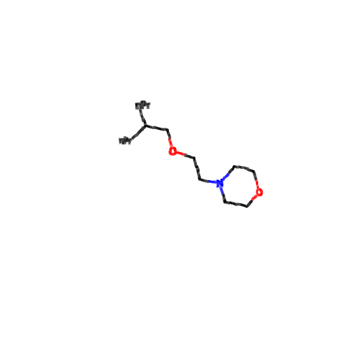 CCCC(CCC)COCCN1CCOCC1